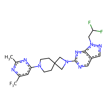 Cc1nc(N2CCC3(CC2)CN(c2ncc4cnn(CC(F)F)c4n2)C3)cc(C(F)(F)F)n1